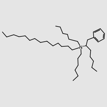 CCCCCCCCCCCCCC[N+](CCCCCC)(CCCCCC)C(CCCCC)Cc1ccccc1